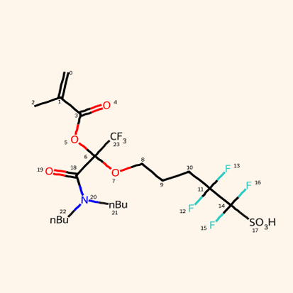 C=C(C)C(=O)OC(OCCCC(F)(F)C(F)(F)S(=O)(=O)O)(C(=O)N(CCCC)CCCC)C(F)(F)F